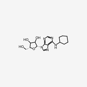 OC[C@H]1O[C@@H](n2cnc3c(NC4CCCCC4)ncnc32)C(O)C1O